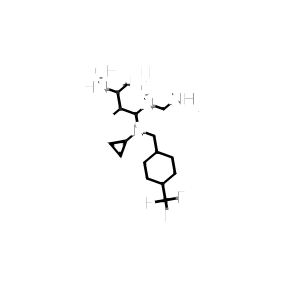 CNC(I)C(F)C(N(C)CN)N(CC1CCC(C(F)(F)F)CC1)C1CC1